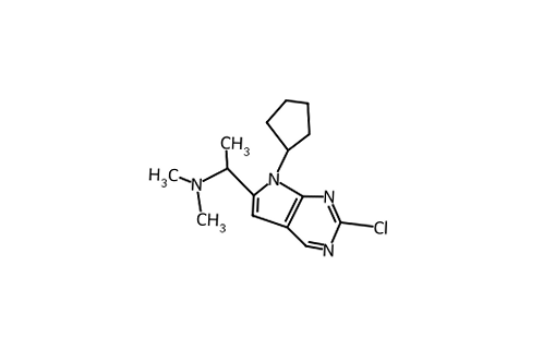 CC(c1cc2cnc(Cl)nc2n1C1CCCC1)N(C)C